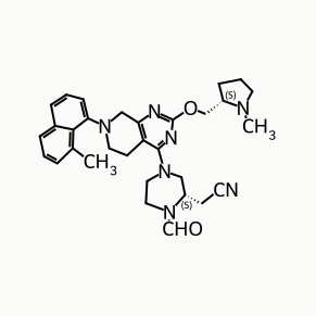 Cc1cccc2cccc(N3CCc4c(nc(OC[C@@H]5CCCN5C)nc4N4CCN(C=O)[C@@H](CC#N)C4)C3)c12